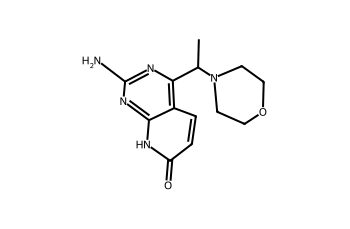 CC(c1nc(N)nc2[nH]c(=O)ccc12)N1CCOCC1